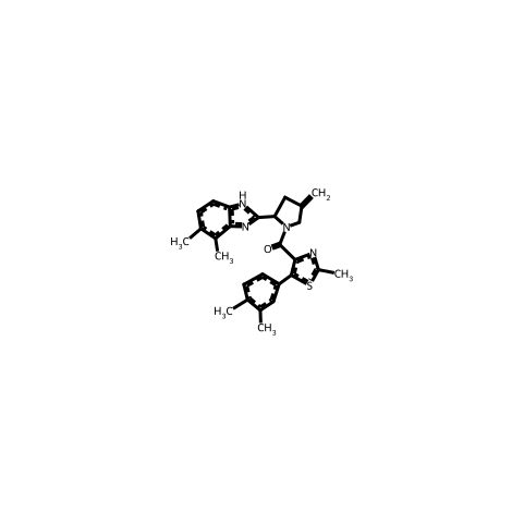 C=C1CC(c2nc3c(C)c(C)ccc3[nH]2)N(C(=O)c2nc(C)sc2-c2ccc(C)c(C)c2)C1